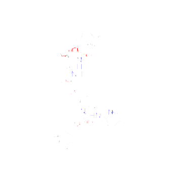 O=C(CO[C@@H]1C[C@@H](CNc2ccccn2)N(C(=O)OCc2ccccc2)C1)NC[C@H](NS(=O)(=O)c1ccccc1)C(=O)O